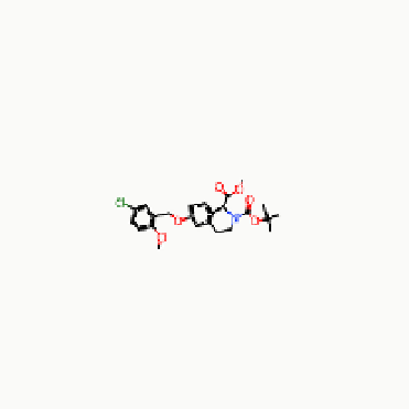 COC(=O)C1c2ccc(OCc3cc(Cl)ccc3OC)cc2CCN1C(=O)OC(C)(C)C